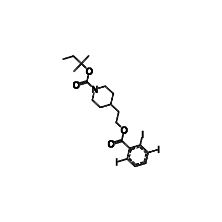 CCC(C)(C)OC(=O)N1CCC(CCOC(=O)c2c(I)ccc(I)c2I)CC1